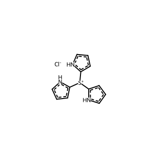 [Cl-].c1c[nH]c([S+](c2ccc[nH]2)c2ccc[nH]2)c1